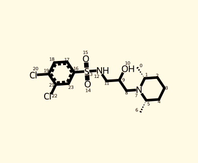 C[C@@H]1CCC[C@H](C)N1CC(O)CNS(=O)(=O)c1ccc(Cl)c(Cl)c1